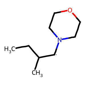 CCC(C)[CH]N1CCOCC1